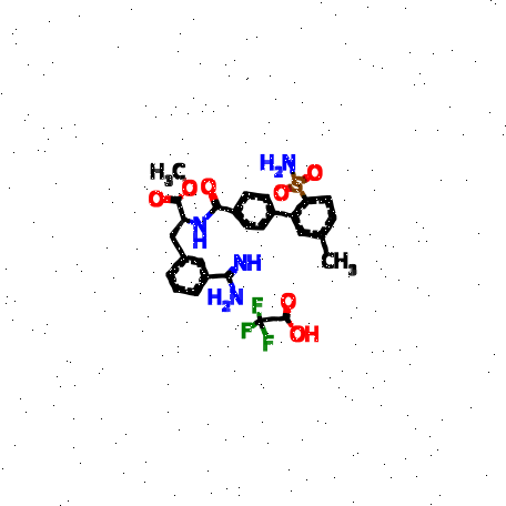 COC(=O)[C@H](Cc1cccc(C(=N)N)c1)NC(=O)c1ccc(-c2cc(C)ccc2S(N)(=O)=O)cc1.O=C(O)C(F)(F)F